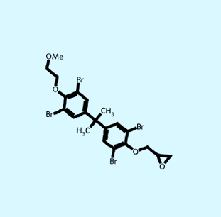 COCCOc1c(Br)cc(C(C)(C)c2cc(Br)c(OCC3CO3)c(Br)c2)cc1Br